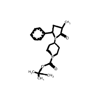 CC1CC(c2ccccc2)N(C2CCN(C(=O)OC(C)(C)C)CC2)C1=O